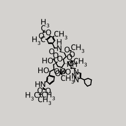 CC(=O)Oc1c(C)cc(C(=O)NC[C@@H](OC(C)=O)[C@@H](OC(C)=O)[C@@H]2O[C@@](C[C@H](O)[C@@H](O)c3cccc(NC(=O)OC(C)(C)C)c3)(C(=O)O)C[C@H](OC(C)=O)[C@H]2NC(=O)Cn2cc(C3CCCCC3)nn2)cc1C